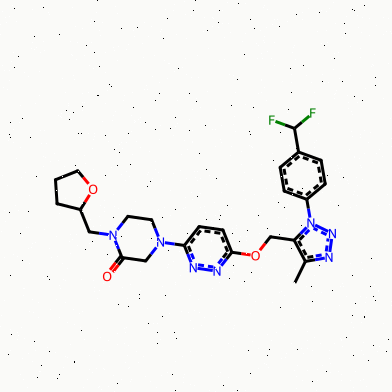 Cc1nnn(-c2ccc(C(F)F)cc2)c1COc1ccc(N2CCN(CC3CCCO3)C(=O)C2)nn1